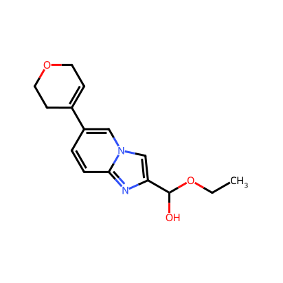 CCOC(O)c1cn2cc(C3=CCOCC3)ccc2n1